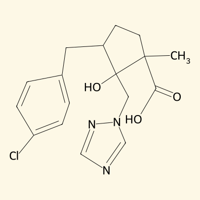 CC1(C(=O)O)CCC(Cc2ccc(Cl)cc2)C1(O)Cn1cncn1